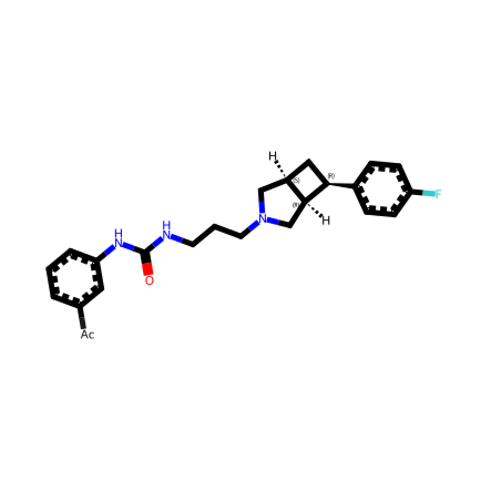 CC(=O)c1cccc(NC(=O)NCCCN2C[C@H]3C[C@@H](c4ccc(F)cc4)[C@H]3C2)c1